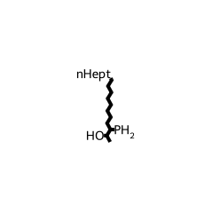 CCCCCCCCCCCCCCCC(P)C(C)O